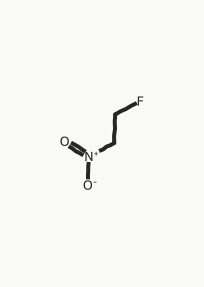 O=[N+]([O-])CCF